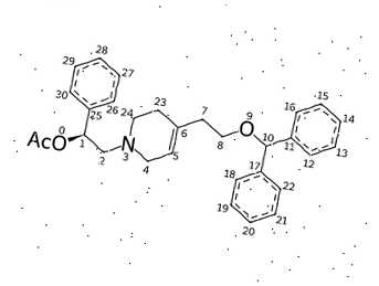 CC(=O)O[C@H](CN1CC=C(CCOC(c2ccccc2)c2ccccc2)CC1)c1ccccc1